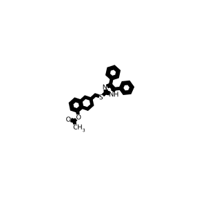 CC(=O)Oc1cccc2c1CCC(CSc1nc(-c3ccccc3)c(-c3ccccc3)[nH]1)C2